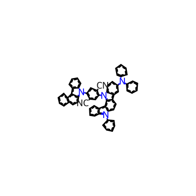 N#Cc1cc(-n2c3ccc(N(c4ccccc4)c4ccccc4)cc3c3ccc4c(c5ccccc5n4-c4ccccc4)c32)c(C#N)cc1-n1c2ccccc2c2c3ccccc3ccc21